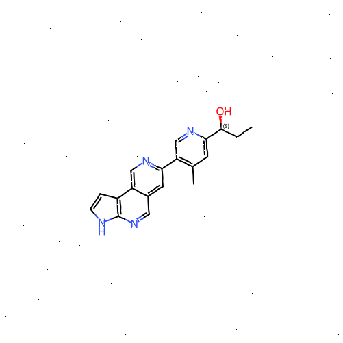 CC[C@H](O)c1cc(C)c(-c2cc3cnc4[nH]ccc4c3cn2)cn1